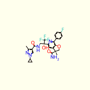 Cc1nn(C2CC2)cc1C(=O)NC[C@](O)(c1cc2c(c(-c3ccc(F)cc3)n1)OC[C@]2(C)C(N)=O)C(F)(F)F